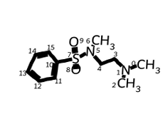 CN(C)CCN(C)S(=O)(=O)c1ccccc1